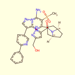 CS(=O)(=O)c1c(C2C[C@H]3CC[C@@H](C2)N3C(=O)c2cc(CO)n[nH]2)nc2c(-c3ccc(-c4ccccc4)nc3)cnn2c1N